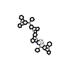 C=C(/C=c1\c(=C)n2c3cc4c5cccc6c7cc(N(c8ccccc8)c8cc9c%10ccccc%10n%10c%11ccccc%11c(c8)c9%10)ccc7n(c4cc3c3cccc1c32)c65)N(c1ccccc1)c1cc2c3ccccc3n3c4ccccc4c(c1)c23